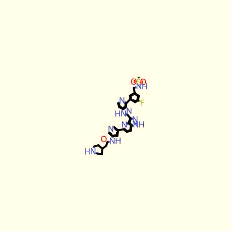 CS(=O)(=O)NCc1cc(F)cc(-c2nccc3[nH]c(-c4n[nH]c5ccc(-c6cncc(NC(=O)CC7CCNCC7)c6)nc45)nc23)c1